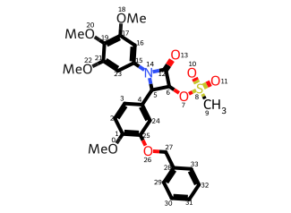 COc1ccc(C2C(OS(C)(=O)=O)C(=O)N2c2cc(OC)c(OC)c(OC)c2)cc1OCc1ccccc1